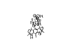 CC(=O)Nc1c(I)c(C(=O)NC(CS(=O)(=O)O)(C(F)(F)F)C(F)(F)F)c(I)c(N(C)C(C)=O)c1I